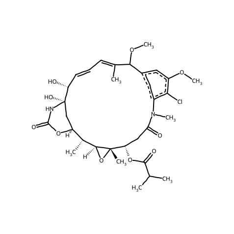 COc1cc2cc(c1Cl)N(C)C(=O)C[C@H](OC(=O)C(C)C)[C@]1(C)O[C@H]1[C@H](C)[C@@H]1C[C@@](O)(NC(=O)O1)[C@H](O)/C=C/C=C(\C)C2OC